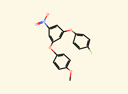 COc1ccc(Oc2cc(Oc3ccc(F)cc3)cc([N+](=O)[O-])c2)cc1